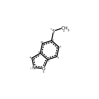 CSc1ccc2oncc2c1